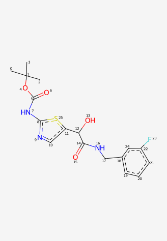 CC(C)(C)OC(=O)Nc1ncc(C(O)C(=O)NCc2cccc(F)c2)s1